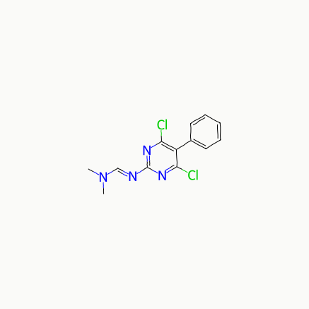 CN(C)/C=N/c1nc(Cl)c(-c2ccccc2)c(Cl)n1